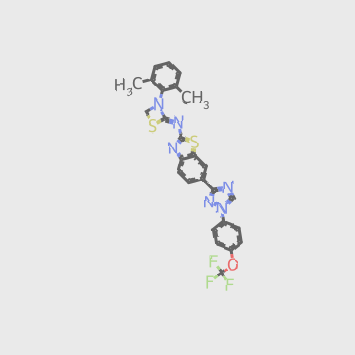 Cc1cccc(C)c1N1CSC1=Nc1nc2ccc(-c3ncn(-c4ccc(OC(F)(F)F)cc4)n3)cc2s1